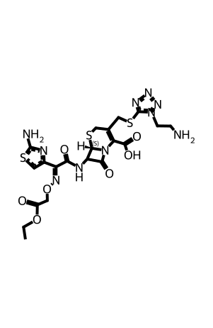 CCOC(=O)CON=C(C(=O)NC1C(=O)N2C(C(=O)O)=C(CSc3nnnn3CCN)CS[C@@H]12)c1csc(N)n1